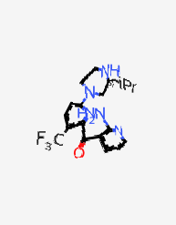 CC(C)[C@H]1CN(c2ccc(C(F)(F)F)c(C(=O)c3cccnc3N)n2)CCN1